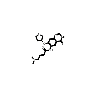 CN(C)C/C=C/C(=O)Nc1cc2c(=O)[nH]cnc2cc1O[C@H]1CCOC1